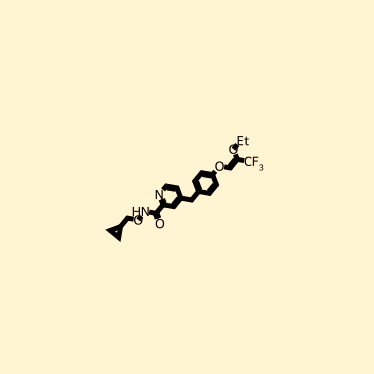 CCO/C(=C\Oc1ccc(Cc2ccnc(C(=O)NOCC3CC3)c2)cc1)C(F)(F)F